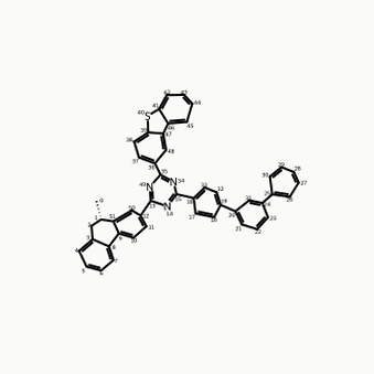 C[C@H]1Cc2ccccc2-c2ccc(-c3nc(-c4ccc(-c5cccc(-c6ccccc6)c5)cc4)nc(-c4ccc5sc6ccccc6c5c4)n3)cc21